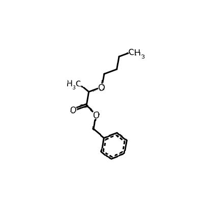 CCCCOC(C)C(=O)OCc1ccccc1